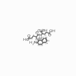 NC(CCC(=O)O)C(=O)NC(CCC(=O)O)C(=O)O.Nc1ccc2ccccc2c1